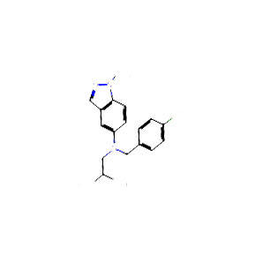 CC(C)CN(Cc1ccc(Cl)cc1)c1ccc2c(cnn2C)c1